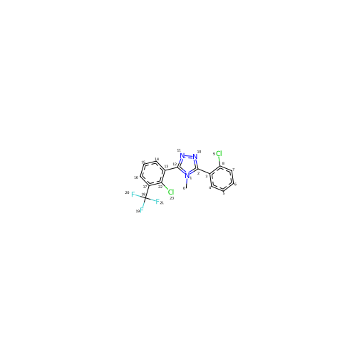 Cn1c(-c2ccccc2Cl)nnc1-c1cccc(C(F)(F)F)c1Cl